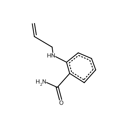 C=CCNc1ccccc1C(N)=O